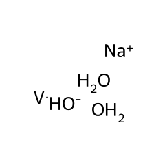 O.O.[Na+].[OH-].[V]